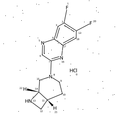 Cl.Fc1cc2ncc(N3CC[C@@H]4CN[C@@H]4C3)nc2cc1F